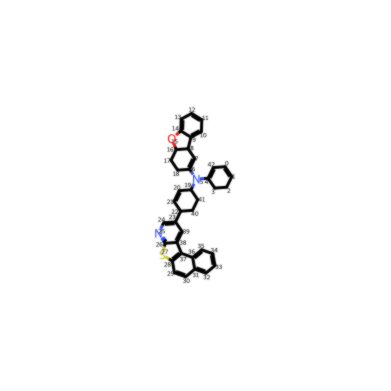 C1=CCCC(N(C2=CC3c4ccccc4OC3CC2)C2C=CC(c3cnc4sc5ccc6ccccc6c5c4c3)CC2)=C1